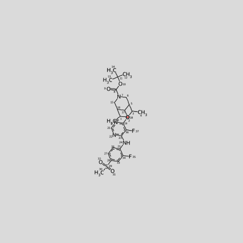 CC1OC(C)C2CN(C(=O)OC(C)(C)C)CC1C2Oc1ncnc(Nc2ccc(S(C)(=O)=O)cc2F)c1F